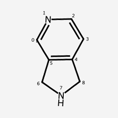 [c]1nccc2c1CNC2